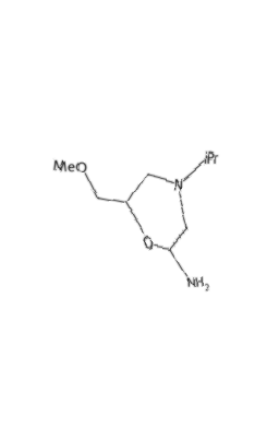 COCC1CN(C(C)C)CC(N)O1